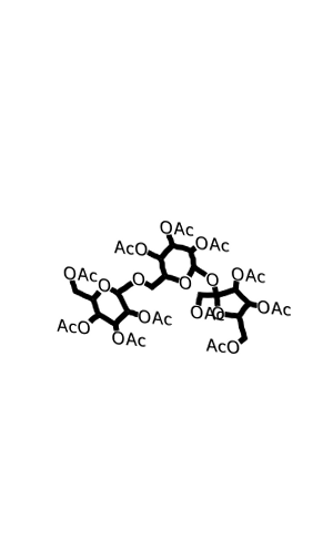 CC(=O)OCC1OC(OCC2OC(OC3(COC(C)=O)OC(COC(C)=O)C(OC(C)=O)C3OC(C)=O)C(OC(C)=O)C(OC(C)=O)C2OC(C)=O)C(OC(C)=O)C(OC(C)=O)C1OC(C)=O